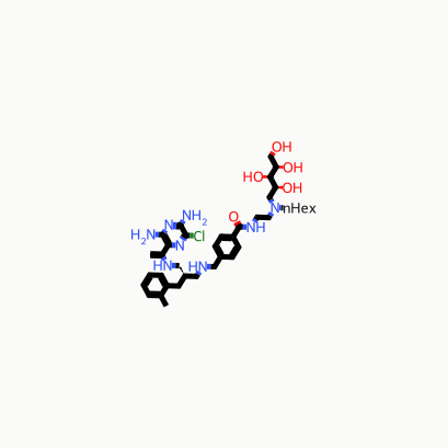 C=C(NC[C@H](CNCc1ccc(C(=O)NCCN(CCCCCC)C[C@H](O)[C@@H](O)[C@H](O)CO)cc1)Cc1ccccc1C)c1nc(Cl)c(N)nc1N